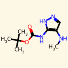 CNc1cn[nH]c1NC(=O)OC(C)(C)C